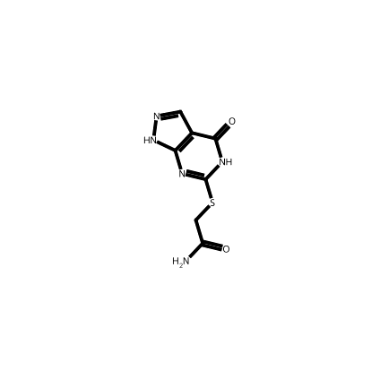 NC(=O)CSc1nc2[nH]ncc2c(=O)[nH]1